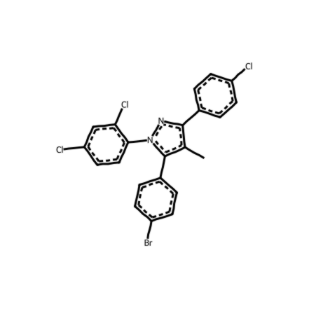 Cc1c(-c2ccc(Cl)cc2)nn(-c2ccc(Cl)cc2Cl)c1-c1ccc(Br)cc1